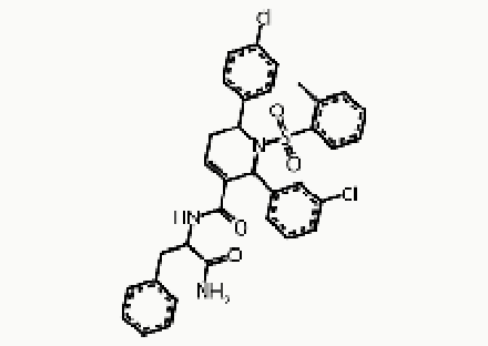 Cc1ccccc1S(=O)(=O)N1C(c2ccc(Cl)cc2)CC=C(C(=O)NC(Cc2ccccc2)C(N)=O)C1c1cccc(Cl)c1